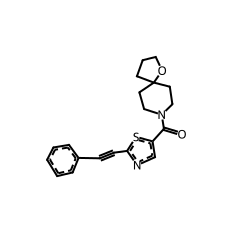 O=C(c1cnc(C#Cc2ccccc2)s1)N1CCC2(CCCO2)CC1